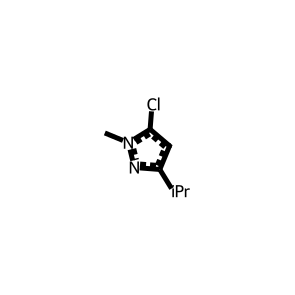 CC(C)c1cc(Cl)n(C)n1